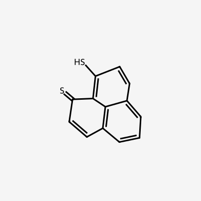 S=C1C=Cc2cccc3ccc(S)c1c23